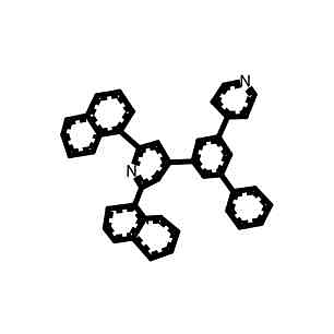 c1ccc(-c2cc(-c3ccncc3)cc(-c3cc(-c4cccc5ccccc45)nc(-c4cccc5ccccc45)c3)c2)cc1